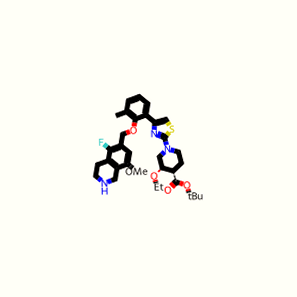 CCO[C@@H]1CN(c2nc(-c3cccc(C)c3OCc3cc(OC)c4c(c3F)CCNC4)cs2)CC[C@@H]1C(=O)OC(C)(C)C